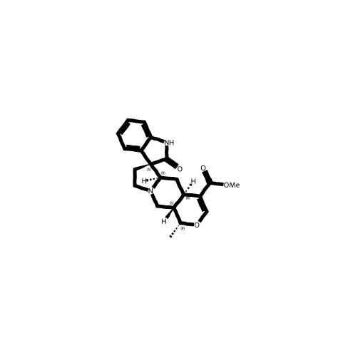 COC(=O)C1=CO[C@H](C)[C@@H]2CN3CC[C@@]4(C(=O)Nc5ccccc54)[C@H]3C[C@@H]12